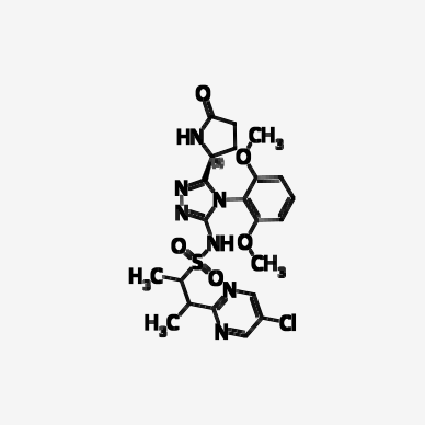 COc1cccc(OC)c1-n1c(NS(=O)(=O)C(C)C(C)c2ncc(Cl)cn2)nnc1[C@@H]1CCC(=O)N1